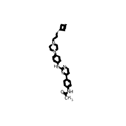 CC(=O)Nc1ccc(-c2ccnc(Nc3ccc(N4CCN(CCC[C@H]5C=CC5)CC4)cc3)n2)cc1